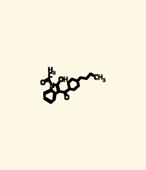 CCCCC1CCC(C(=O)c2c(O)n(C(C)=O)c3ccccc23)CC1